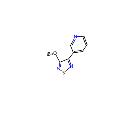 CC(C)COc1nsnc1-c1cccnc1